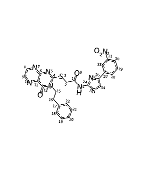 O=C(CSc1nc2nccnc2c(=O)n1CCc1ccccc1)Nc1nc(-c2cccc([N+](=O)[O-])c2)cs1